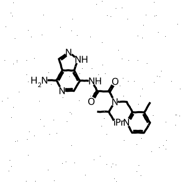 Cc1cccnc1CN(C(=O)C(=O)Nc1cnc(N)c2cn[nH]c12)C(C)C(C)C